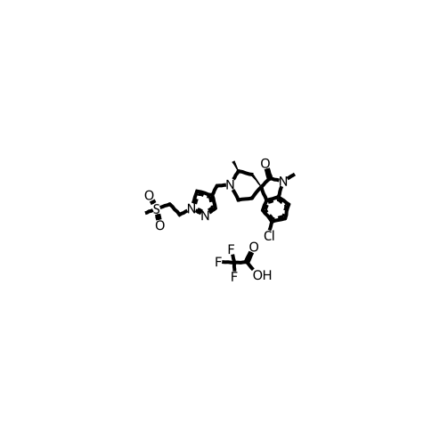 C[C@H]1C[C@@]2(CCN1Cc1cnn(CCS(C)(=O)=O)c1)C(=O)N(C)c1ccc(Cl)cc12.O=C(O)C(F)(F)F